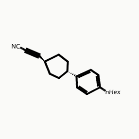 CCCCCCc1ccc([C@H]2CC[C@H](C#CC#N)CC2)cc1